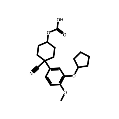 COc1ccc(C2(C#N)CCC(OC(=O)O)CC2)cc1OC1CCCC1